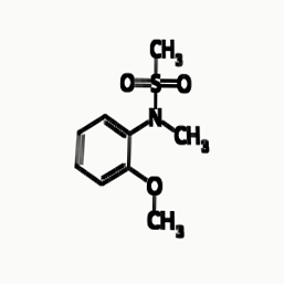 COc1ccccc1N(C)S(C)(=O)=O